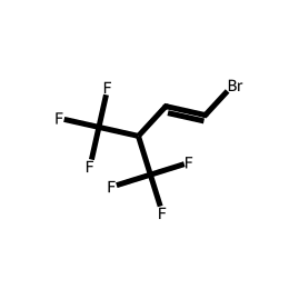 FC(F)(F)C(C=CBr)C(F)(F)F